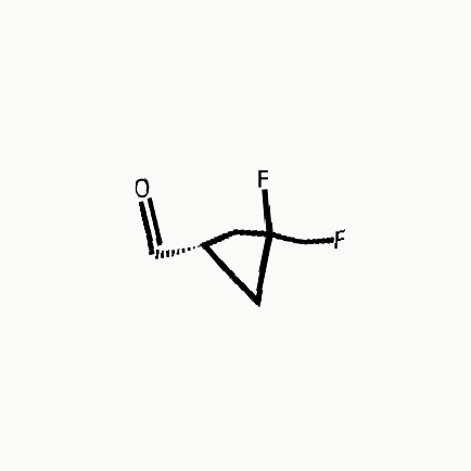 O=C[C@H]1CC1(F)F